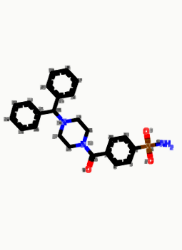 NS(=O)(=O)c1ccc(C(=O)N2CCN(C(c3ccccc3)c3ccccc3)CC2)cc1